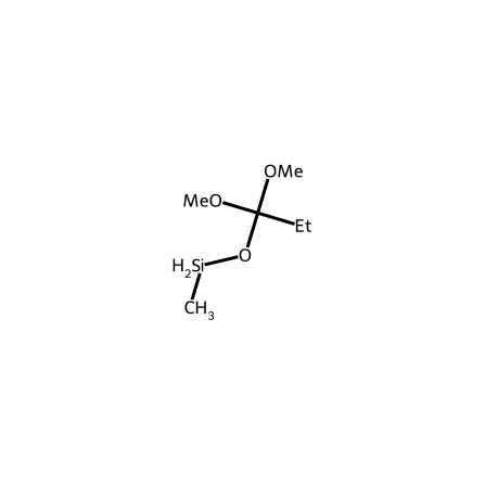 CCC(OC)(OC)O[SiH2]C